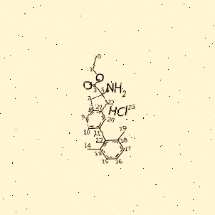 CCOC(=O)C1(N)Cc2ccc(-c3c(C)cccc3C)cc2C1.Cl